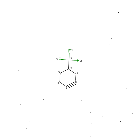 FC(F)(F)C1CC#CCC1